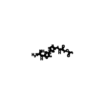 CC(=O)OCC(=O)NCc1ccc(-c2csc(NC(=N)N)n2)s1